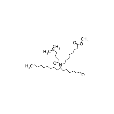 CCCCCCCCCC(CCCCCC=O)N(CCCCCCCC(=O)OC)C(=O)CCCN(C)C